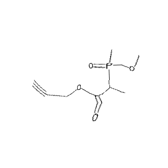 C#CCOC(=O)C(C)P(C)(=O)OC